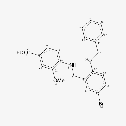 CCOC(=O)c1ccc(NCc2cc(Br)ccc2OCc2ccccc2)c(OC)c1